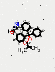 C=C(C)C(=O)OC(c1ccccc1)(c1ccccc1)c1ccccc1.CC.N=C=O